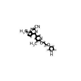 Cc1cc(-c2nc(C#N)nc3c2ccn3C)cnc1OCCO[C@@H]1CCNC1